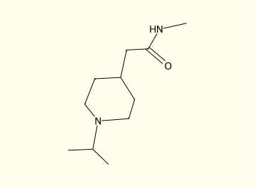 CNC(=O)CC1CCN(C(C)C)CC1